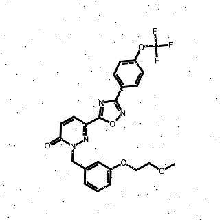 COCCOc1cccc(Cn2nc(-c3nc(-c4ccc(OC(F)(F)F)cc4)no3)ccc2=O)c1